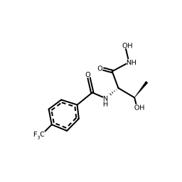 C[C@@H](O)[C@H](NC(=O)c1ccc(C(F)(F)F)cc1)C(=O)NO